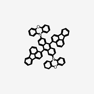 C1=CC2=C(CC1)Oc1ccccc1N2c1ccc2c(-c3ccc4c5c(cccc35)-c3ccccc3-4)c3cc(N4c5ccccc5Oc5ccccc54)ccc3c(-c3ccc4c5c(cccc35)-c3ccccc3-4)c2c1